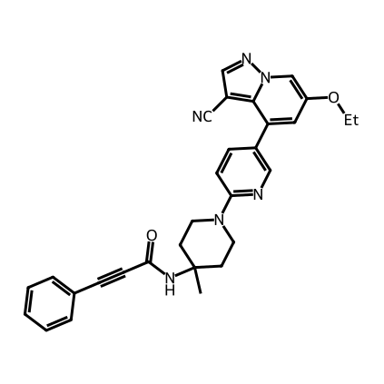 CCOc1cc(-c2ccc(N3CCC(C)(NC(=O)C#Cc4ccccc4)CC3)nc2)c2c(C#N)cnn2c1